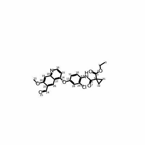 CCOC(=O)C1(C(=O)Nc2ccc(Oc3ccnc4cc(OC)c(C=O)cc34)cc2Cl)CC1